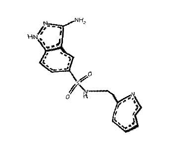 Nc1n[nH]c2ccc(S(=O)(=O)NCc3ccccn3)cc12